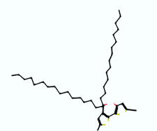 CCCCCCCCCCCCCCCC1(CCCCCCCCCCCCCCC)Oc2cc(C)sc2-c2sc(C)cc21